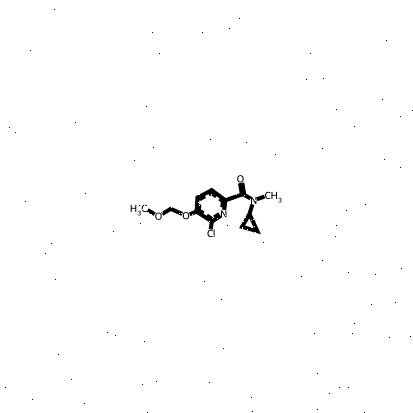 COCOc1ccc(C(=O)N(C)C2CC2)nc1Cl